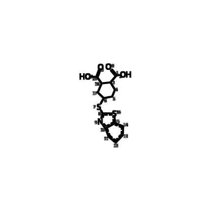 O=C(O)C1CCC(Sc2nc3ccccc3s2)CC1C(=O)O